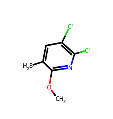 Bc1cc(Cl)c(Cl)nc1OC